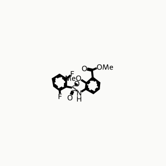 COC(=O)c1cccc(NS(=O)(=O)c2c(F)cccc2F)c1OC